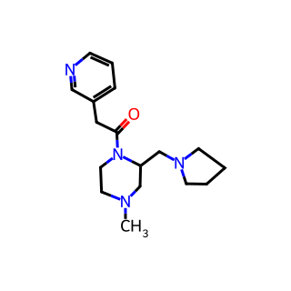 CN1CCN(C(=O)Cc2cccnc2)C(CN2CCCC2)C1